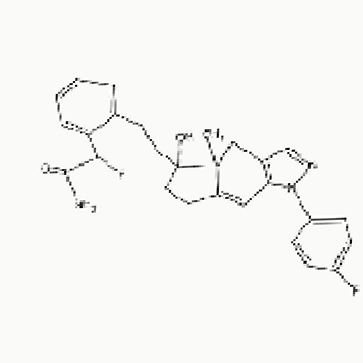 CC12Cc3cnn(-c4ccc(F)cc4)c3C=C1CCC2(O)CCc1ccccc1C(F)C(N)=O